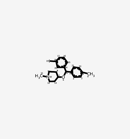 Cc1ccc(C(OC2CCN(C)CC2)c2cccc(I)c2)cc1